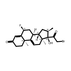 C[C@@H]1C[C@H]2[C@@H]3C[C@H](F)C4=CC(=O)CC[C@]4(C)C3=CC[C@]2(C)[C@@]1(O)C(=O)CBr